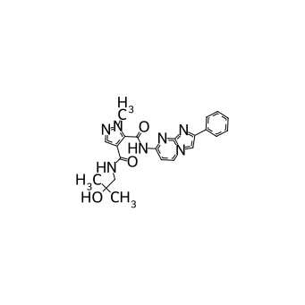 Cn1ncc(C(=O)NCC(C)(C)O)c1C(=O)Nc1ccn2cc(-c3ccccc3)nc2n1